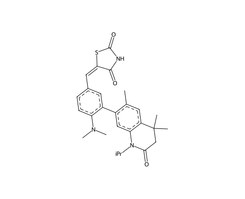 Cc1cc2c(cc1-c1cc(C=C3SC(=O)NC3=O)ccc1N(C)C)N(C(C)C)C(=O)CC2(C)C